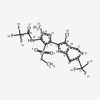 CCS(=O)(=O)c1c(-c2nc3cc(C(F)(F)F)ncn3c2Cl)nn(C)c1NC(=O)C(F)(F)F